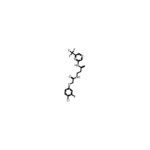 C=C(CCNC(=O)COc1ccc(Cl)c(F)c1)Nc1cncc(C(F)(F)F)n1